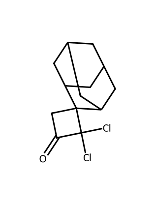 O=C1CC2(C3CC4CC(C3)CC2C4)C1(Cl)Cl